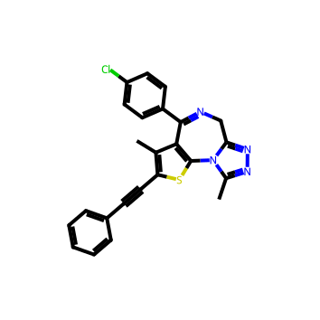 Cc1c(C#Cc2ccccc2)sc2c1C(c1ccc(Cl)cc1)=NCc1nnc(C)n1-2